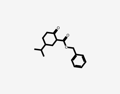 CC(C)C1CCC(=O)C(C(=O)OCc2ccccc2)C1